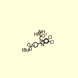 CC(C)(C)OC(=O)N1CCC(c2nc3cc(Cl)c(Cl)cc3n2CC(=O)NN)CC1